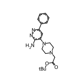 CC(C)(C)OC(=O)CN1CCN(c2cc(-c3ccccc3)nnc2N)CC1